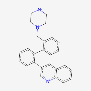 c1ccc(-c2ccccc2-c2cnc3ccccc3c2)c(CN2CC[N]CC2)c1